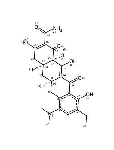 CCc1cc(N(C)C)c2c(c1O)C(=O)C1=C(O)[C@]3(OC)C(=O)C(C(N)=O)=C(O)C[C@@H]3C[C@@H]1C2